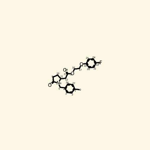 Cc1ccc(CN2C(=O)CCC2CC(=O)OCCOc2ccc(F)cc2)cc1